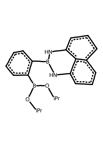 CC(C)OB(OC(C)C)c1ccccc1B1Nc2cccc3cccc(c23)N1